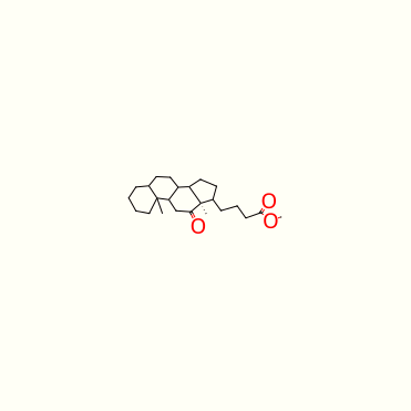 COC(=O)CCCC1CCC2C3CCC4CCCCC4(C)C3CC(=O)[C@]12C